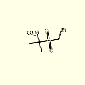 CC(C)CS(=O)(=O)C(C)(C)C(=O)O